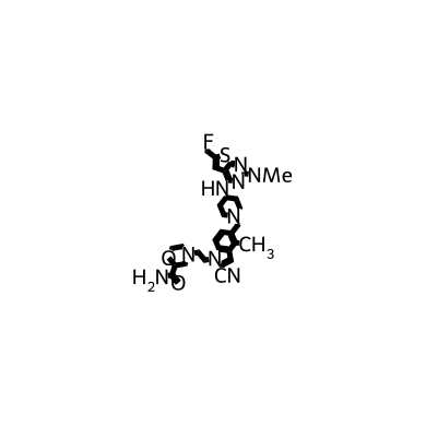 CNc1nc(NC2CCN(Cc3ccc4c(cc(C#N)n4CCN4CCOC(C(N)=O)C4)c3C)CC2)c2cc(CF)sc2n1